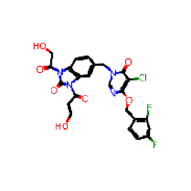 O=C(CO)n1c(=O)n(C(=O)CCO)c2cc(Cn3cnc(OCc4ccc(F)cc4F)c(Cl)c3=O)ccc21